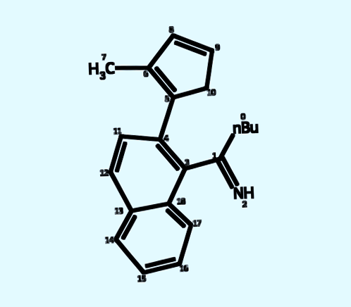 CCCCC(=N)c1c(C2=C(C)C=CC2)ccc2ccccc12